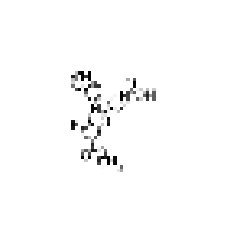 COC(=O)c1ccc(CN(C(=O)N2CCN(C(=O)O)CC2)c2cccc(OC)c2)c(F)c1